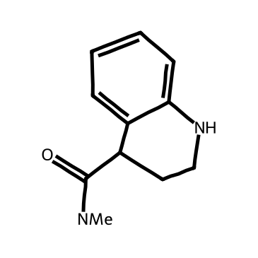 CNC(=O)C1CCNc2ccccc21